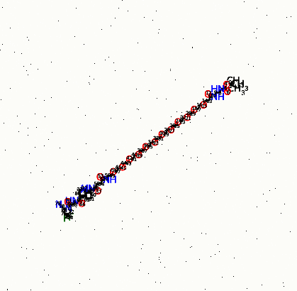 CC(C)(C)OC(=O)NCCNC(=O)CCOCCOCCOCCOCCOCCOCCOCCOCCOCCOCCOCCOCCNC(=O)CCC(=O)Nc1cccc2c(C(=O)NCC(=O)N3CC(F)(F)C[C@H]3C#N)ccnc12